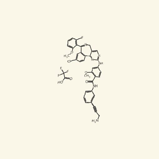 COc1cc(Nc2ncc3c(n2)-c2ccc(Cl)cc2C(c2c(F)cccc2OC)=NC3)ccc1C(=O)Nc1cccc(C#CCN)c1.O=C(O)C(F)(F)F